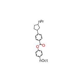 CCCCCCCCc1ccc(OC(=O)c2ccc(C3CCC(CCC)C3)cc2)cc1